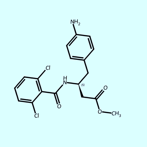 COC(=O)C[C@H](Cc1ccc(N)cc1)NC(=O)c1c(Cl)cccc1Cl